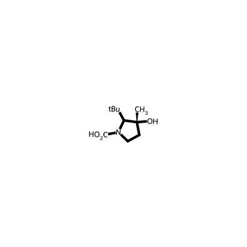 CC(C)(C)C1N(C(=O)O)CC[C@@]1(C)O